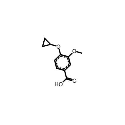 COc1cc(C(=O)O)ccc1OC1CC1